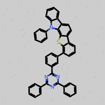 c1ccc(-c2nc(-c3ccccc3)nc(-c3cccc(-c4cccc5c4sc4c5ccc5c6ccccc6n(-c6ccccc6)c54)c3)n2)cc1